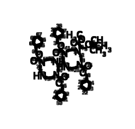 COC(=O)[C@@H](COC(C)(C)C)N1CCN(C(=O)OCc2ccccc2)CCNCCN(C(=O)OCc2ccccc2)CC1.O=C(OCc1ccccc1)N1CCNCCN(C(=O)OCc2ccccc2)CCNCC1